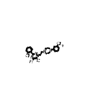 CC(C)c1nc(-c2ccccc2Cl)nn(CCN2CCN(c3cccc(C(F)(F)F)c3)CC2)c1=O